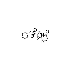 O=c1ccnc2sc(S(=O)(=O)Cc3ccccc3)nn12